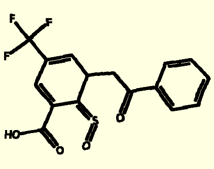 O=S=C1C(C(=O)O)=CC(C(F)(F)F)=CC1CC(=O)c1ccccc1